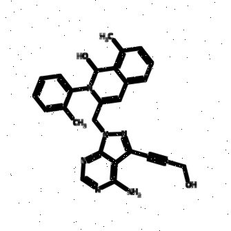 Cc1ccccc1N1C(Cn2nc(C#CCO)c3c(N)ncnc32)=Cc2cccc(C)c2C1O